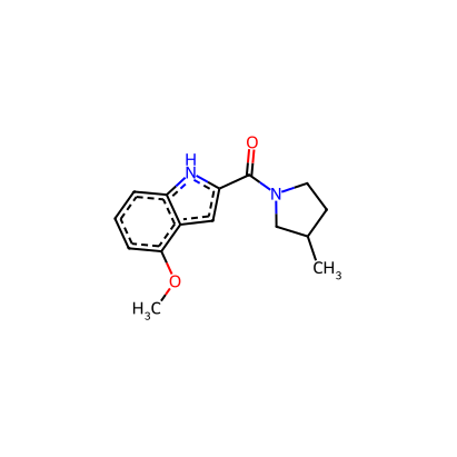 COc1cccc2[nH]c(C(=O)N3CCC(C)C3)cc12